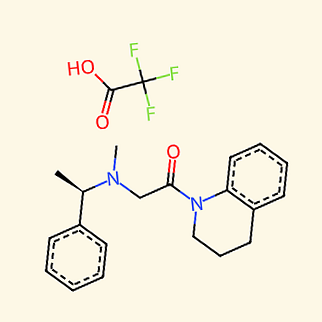 C[C@H](c1ccccc1)N(C)CC(=O)N1CCCc2ccccc21.O=C(O)C(F)(F)F